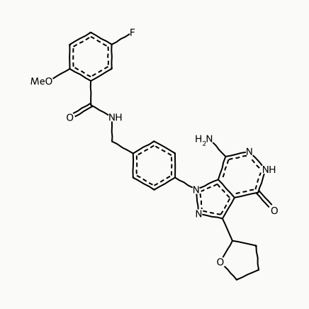 COc1ccc(F)cc1C(=O)NCc1ccc(-n2nc(C3CCCO3)c3c(=O)[nH]nc(N)c32)cc1